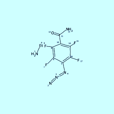 CCN.[N-]=[N+]=Nc1c(F)c(F)c(C(N)=O)c(F)c1F